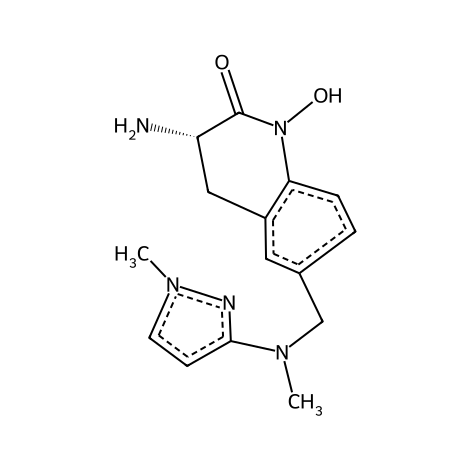 CN(Cc1ccc2c(c1)C[C@H](N)C(=O)N2O)c1ccn(C)n1